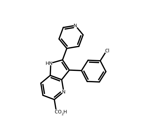 O=C(O)c1ccc2[nH]c(-c3ccncc3)c(-c3cccc(Cl)c3)c2n1